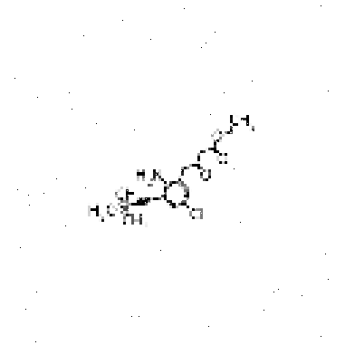 CCOC(=O)CC(=O)Cc1cc(Cl)cc(C#C[Si](C)(C)C)c1N